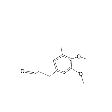 COc1cc(CCC=O)cc(C)c1OC